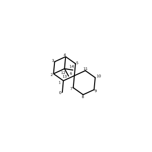 CC1C2CC(CC13CCCCC3)C2(C)C